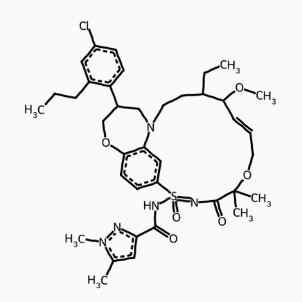 CCCc1cc(Cl)ccc1C1COc2ccc3cc2N(CCC(CC)C(OC)/C=C/COC(C)(C)C(=O)N=S3(=O)NC(=O)c2cc(C)n(C)n2)C1